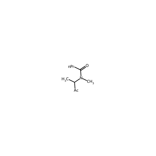 CCCC(=O)N(C)C(C)C(C)=O